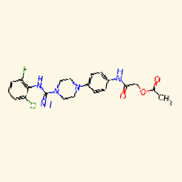 CC(=O)OCC(=O)Nc1ccc(N2CCN(C(=N)Nc3c(F)cccc3Cl)CC2)cc1